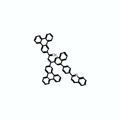 C=C(/C=C(\c1cc(-c2ccc(-c3ccc4ccccc4n3)cc2)c2ccccc2c1)c1ccc2c3ccccc3c3ccccc3c2c1)c1ccc2c3ccccc3c3ccccc3c2c1